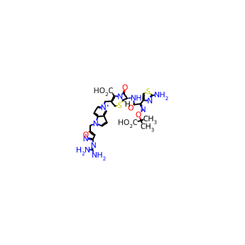 CC(C)(O/N=C(\C(=O)N[C@@H]1C(=O)N2C(C(=O)O)=C(C[n+]3ccc4c(ccn4Cc4cc(N=C(N)N)no4)c3)CS[C@H]12)c1csc(N)n1)C(=O)O